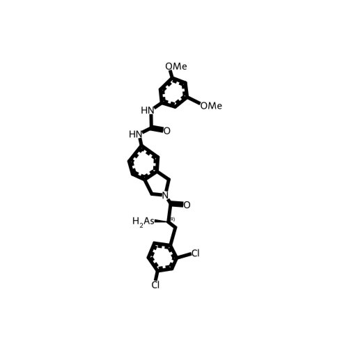 COc1cc(NC(=O)Nc2ccc3c(c2)CN(C(=O)[C@H]([AsH2])Cc2ccc(Cl)cc2Cl)C3)cc(OC)c1